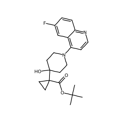 CC(C)(C)OC(=O)C1(C2(O)CCN(c3ccnc4ccc(F)cc34)CC2)CC1